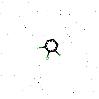 Fc1[c]ccc(F)c1Cl